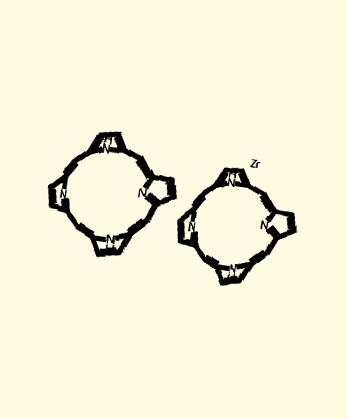 C1=Cc2cc3ccc(cc4nc(cc5ccc(cc1n2)[nH]5)C=C4)[nH]3.C1=Cc2cc3ccc(cc4nc(cc5ccc(cc1n2)[nH]5)C=C4)[nH]3.[Zr]